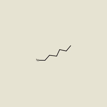 [3H]CCCCCC